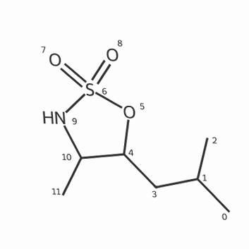 CC(C)CC1OS(=O)(=O)NC1C